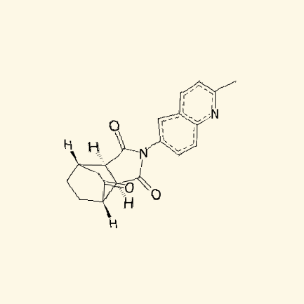 Cc1ccc2cc(N3C(=O)[C@@H]4[C@H]5CC[C@H](C(=O)C5)[C@@H]4C3=O)ccc2n1